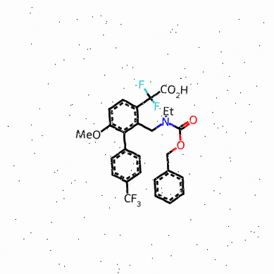 CCN(Cc1c(C(F)(F)C(=O)O)ccc(OC)c1-c1ccc(C(F)(F)F)cc1)C(=O)OCc1ccccc1